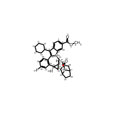 COC(=O)c1ccc2c(C3CCCCC3)c3n(c2c1)C[C@@]1(C(=O)N2C4CCC2CN(C)C4)C[C@H]1c1cc(F)ccc1-3